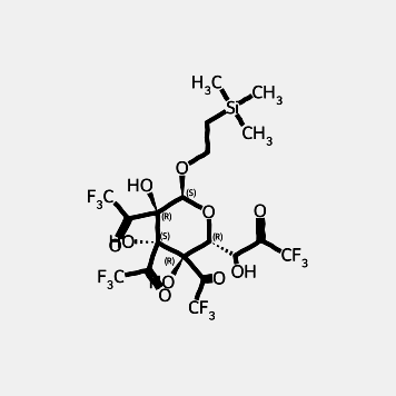 C[Si](C)(C)CCO[C@H]1O[C@H](C(O)C(=O)C(F)(F)F)[C@](O)(C(=O)C(F)(F)F)[C@@](O)(C(=O)C(F)(F)F)[C@]1(O)C(=O)C(F)(F)F